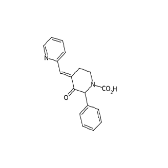 O=C1C(=Cc2ccccn2)CCN(C(=O)O)C1c1ccccc1